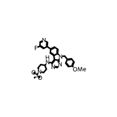 COc1ccc(Cn2c3ccc(-c4cncc(F)c4)cc3c3c(NC4CCN(S(C)(=O)=O)CC4)ncnc32)cc1